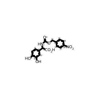 O=C(NC(C(=O)O)c1ccc(O)c(O)c1)OCc1ccc([N+](=O)[O-])cc1